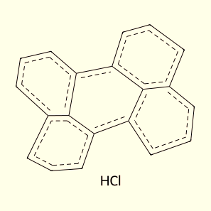 Cl.c1cc2cccc3c4cccc5cccc(c(c1)c23)c54